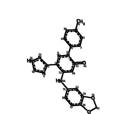 Cc1ccc(-n2nc(-c3nc[nH]n3)c(Nc3ccc4c(c3)OCO4)cc2=O)cc1